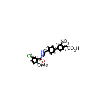 COc1ccc(Cl)cc1C(=O)NCCc1ccc(-c2ccc(CC(=O)O)c([N+](=O)[O-])c2)cc1